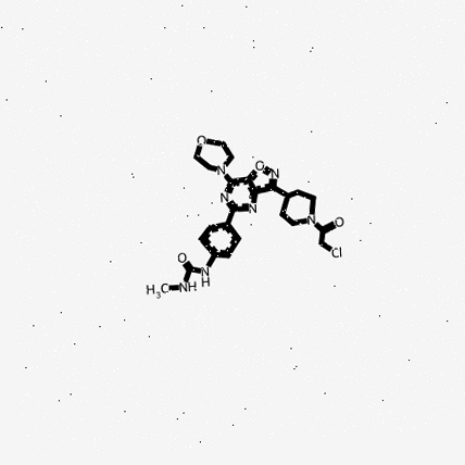 CNC(=O)Nc1ccc(-c2nc(N3CCOCC3)c3onc(C4CCN(C(=O)CCl)CC4)c3n2)cc1